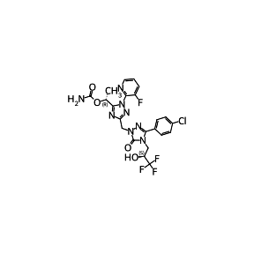 C[C@@H](OC(N)=O)c1nc(Cn2nc(-c3ccc(Cl)cc3)n(C[C@H](O)C(F)(F)F)c2=O)nn1-c1ncccc1F